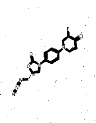 [N-]=[N+]=NC[C@H]1CN(c2ccc(N3CCC(=O)C(F)C3)cc2)C(=O)O1